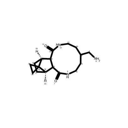 NCC1CCNC(=O)C2C(C(=O)NCC1)[C@@H]1CC[C@H]2C12CC2